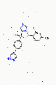 N#Cc1ccc([C@H]2C[C@](O)(c3ccc(-c4cn[nH]c4)cc3)c3cncn32)c(F)c1